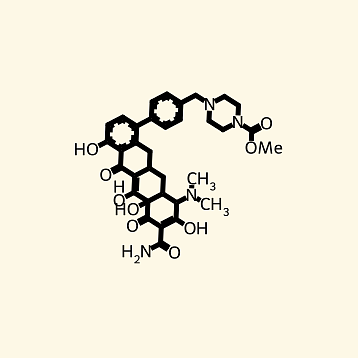 COC(=O)N1CCN(Cc2ccc(-c3ccc(O)c4c3CC3CC5C(N(C)C)C(O)=C(C(N)=O)C(=O)C5(O)C(O)=C3C4=O)cc2)CC1